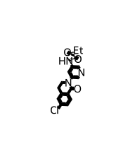 CCS(=O)(=O)Nc1cncc(N2CCc3cc(Cl)ccc3C2=O)c1